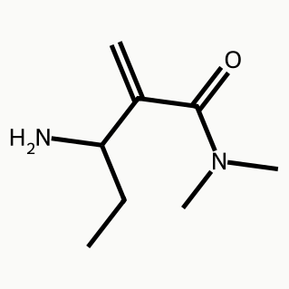 C=C(C(=O)N(C)C)C(N)CC